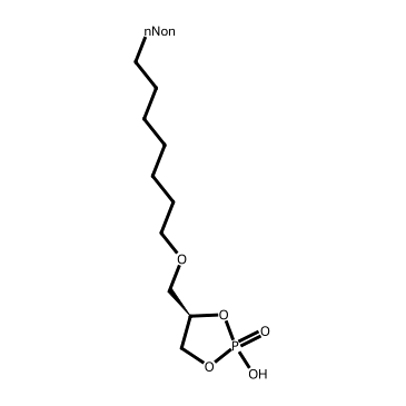 CCCCCCCCCCCCCCCCOC[C@@H]1COP(=O)(O)O1